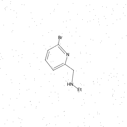 CCNCc1cccc(Br)n1